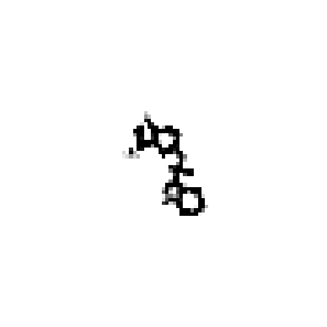 Cn1cc(C(C)(C)C)c2cc(CC(C)(C)c3csc4ccccc34)ccc21